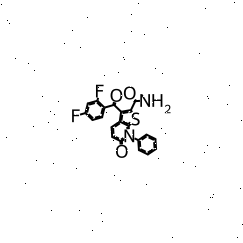 NC(=O)c1sc2c(ccc(=O)n2-c2ccccc2)c1C(=O)c1ccc(F)cc1F